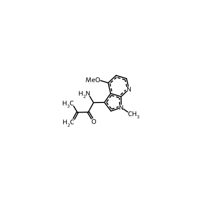 C=C(C)C(=O)C(N)c1cn(C)c2nccc(OC)c12